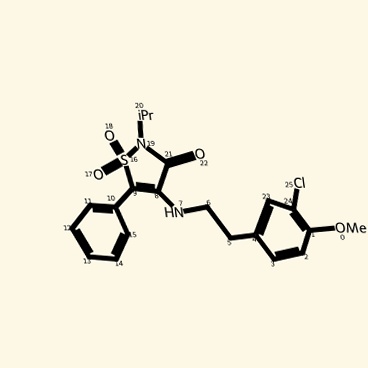 COc1ccc(CCNC2=C(c3ccccc3)S(=O)(=O)N(C(C)C)C2=O)cc1Cl